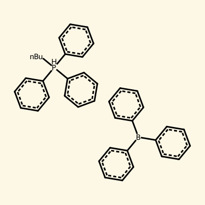 CCCC[PH](c1ccccc1)(c1ccccc1)c1ccccc1.c1ccc(B(c2ccccc2)c2ccccc2)cc1